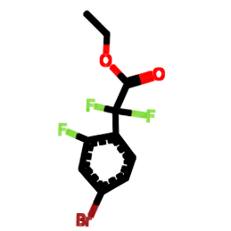 CCOC(=O)C(F)(F)c1ccc(Br)cc1F